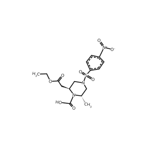 CCOC(=O)C[C@H]1CN(S(=O)(=O)c2ccc([N+](=O)[O-])cc2)C[C@H](C)N1C(=O)O